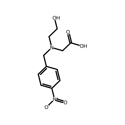 O=C(O)CN(CCO)Cc1ccc([N+](=O)[O-])cc1